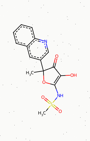 CC1(c2cnc3ccccc3c2)OC(NS(C)(=O)=O)=C(O)C1=O